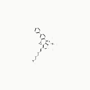 CC(C)(C)n1nc(-c2ccc(-c3ccc(F)cc3)cc2C2CC2)c2cc(/C=C/C(O)CC(O)CC(=O)O)cnc21